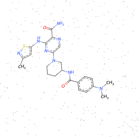 Cc1cc(Nc2nc(N3CCCC(NC(=O)c4ccc(N(C)C)cc4)C3)cnc2C(N)=O)sn1